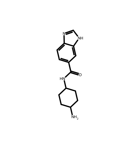 NC1CCC(NC(=O)c2ccc3nc[nH]c3c2)CC1